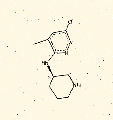 Cc1cc(Cl)nnc1N[C@@H]1CCCNC1